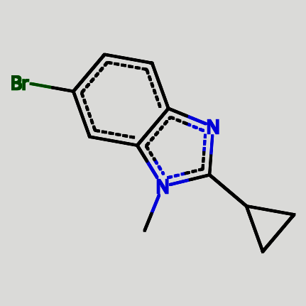 Cn1c(C2CC2)nc2ccc(Br)cc21